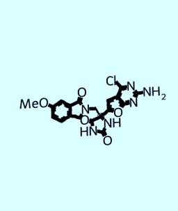 COc1ccc2c(c1)C(=O)N(C[C@@]1(c3cc4c(Cl)nc(N)nc4o3)NC(=O)NC1=O)C2